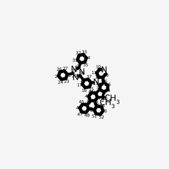 CC1(C)c2ccc3c4cnccc4n(-c4cccc(-c5nc(-c6ccccc6)nc(-c6ccccc6)n5)c4)c3c2-c2ccc3c4ccccc4c4ccccc4c3c21